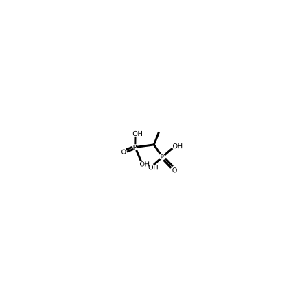 CC(P(=O)(O)O)P(=O)(O)O